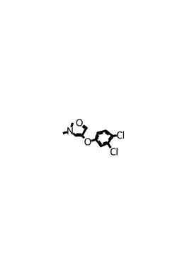 CN(C)/C=C(\C=O)Oc1ccc(Cl)c(Cl)c1